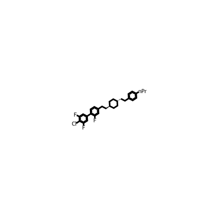 CCCc1ccc(CC[C@H]2CC[C@H](CCc3ccc(-c4cc(F)c(Cl)c(F)c4)c(F)c3)CC2)cc1